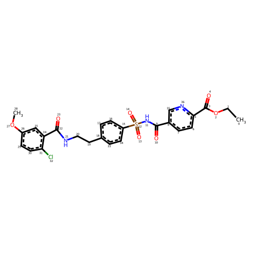 CCOC(=O)c1ccc(C(=O)NS(=O)(=O)c2ccc(CCNC(=O)c3cc(OC)ccc3Cl)cc2)cn1